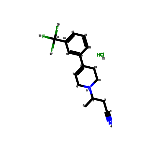 CC(CC#N)N1CC=C(c2cccc(C(F)(F)F)c2)CC1.Cl